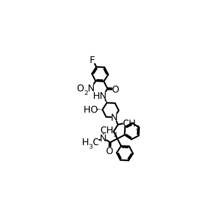 CC(CC(C(=O)N(C)C)(c1ccccc1)c1ccccc1)N1CC[C@H](NC(=O)c2ccc(F)cc2[N+](=O)[O-])[C@@H](O)C1